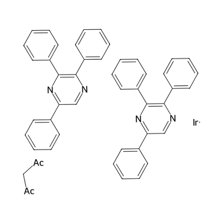 CC(=O)CC(C)=O.[Ir].c1ccc(-c2cnc(-c3ccccc3)c(-c3ccccc3)n2)cc1.c1ccc(-c2cnc(-c3ccccc3)c(-c3ccccc3)n2)cc1